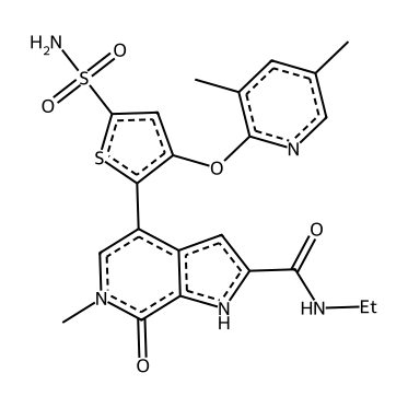 CCNC(=O)c1cc2c(-c3sc(S(N)(=O)=O)cc3Oc3ncc(C)cc3C)cn(C)c(=O)c2[nH]1